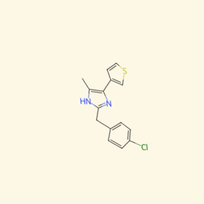 Cc1[nH]c(Cc2ccc(Cl)cc2)nc1-c1ccsc1